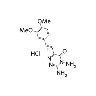 COc1ccc(/C=C/c2nnc(N)n(N)c2=O)cc1OC.Cl